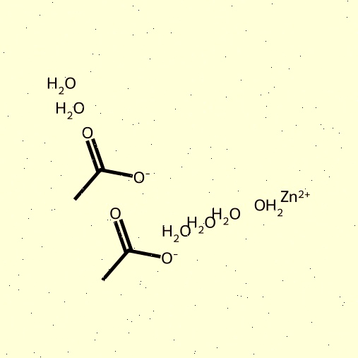 CC(=O)[O-].CC(=O)[O-].O.O.O.O.O.O.[Zn+2]